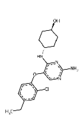 CCc1ccc(Oc2cnc(N)nc2N[C@H]2CC[C@H](O)CC2)c(Cl)c1